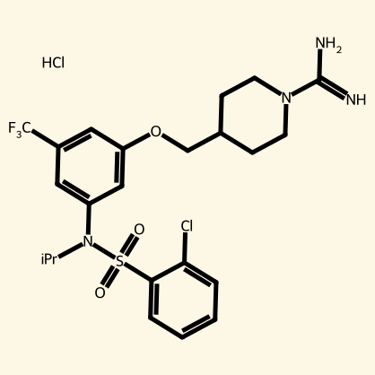 CC(C)N(c1cc(OCC2CCN(C(=N)N)CC2)cc(C(F)(F)F)c1)S(=O)(=O)c1ccccc1Cl.Cl